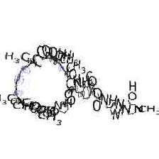 CO[C@H]1C[C@@H]2CC[C@@H](C)[C@@](O)(O2)C(=O)C(=O)N2CCCC[C@H]2C(=O)O[C@H]([C@H](N)C[C@@H]2CC[C@@H](OC(=O)NCc3cnc(N4CCN(C)CC4CO)nc3)[C@H](OC)C2)CC(=O)[C@H](C)/C=C(\C)[C@@H](O)[C@@H](O)C(=O)C(C)C[C@H](C)/C=C/C=C/C=C/1C